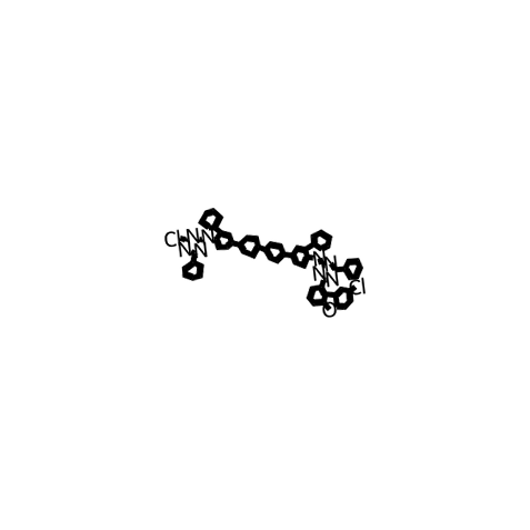 Clc1ccc2oc3cccc(-c4nc(-c5ccccc5)nc(-n5c6ccccc6c6cc(-c7ccc(-c8ccc(-c9ccc%10c(c9)c9ccccc9n%10-c9nc(Cl)nc(-c%10ccccc%10)n9)cc8)cc7)ccc65)n4)c3c2c1